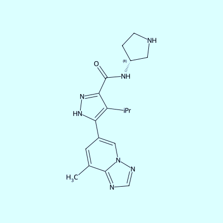 Cc1cc(-c2[nH]nc(C(=O)N[C@@H]3CCNC3)c2C(C)C)cn2ncnc12